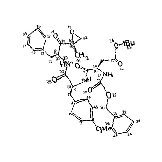 COc1ccc(C[C@H](NC(=O)[C@@H](CC(=O)OC(C)(C)C)NC(=O)OCc2ccccc2)C(=O)N[C@@H](Cc2ccccc2)C(=O)[C@@]2(C)CO2)cc1